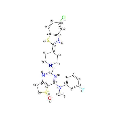 CN(c1cccc(F)c1)c1nc(N2CCC(c3nc4cc(Cl)ccc4s3)CC2)nc2c1[S+]([O-])CC2